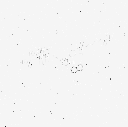 O=C(O)CCCCCCC(=O)NC[C@H]1CC[C@H](C(=O)N[C@@H](Cc2ccc3ccccc3c2)C(=O)NCCCC[C@H](NC(=O)N[C@@H](CCC(=O)O)C(=O)O)C(=O)O)CC1